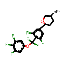 CCCC1CCC(c2cc(F)c(C(F)(F)Oc3cc(F)c(F)c(F)c3)c(F)c2)OC1